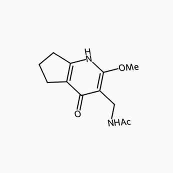 COc1[nH]c2c(c(=O)c1CNC(C)=O)CCC2